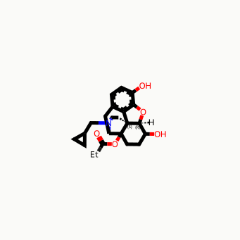 CCC(=O)OC12CCC(O)[C@@H]3Oc4c(O)ccc5c4[C@@]31CCN(CC1CC1)C2C5